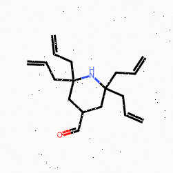 C=CCC1(CC=C)CC(C=O)CC(CC=C)(CC=C)N1